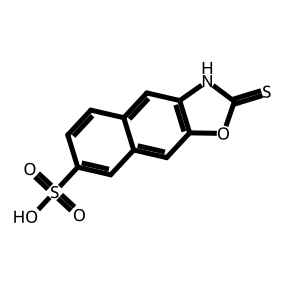 O=S(=O)(O)c1ccc2cc3[nH]c(=S)oc3cc2c1